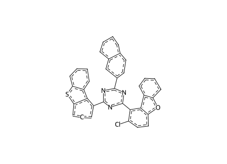 Clc1ccc2oc3ccccc3c2c1-c1nc(-c2ccc3ccccc3c2)nc(-c2cccc3sc4ccccc4c23)n1